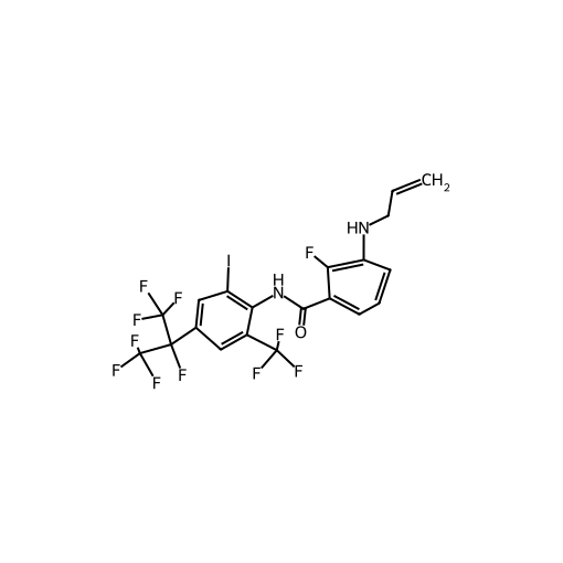 C=CCNc1cccc(C(=O)Nc2c(I)cc(C(F)(C(F)(F)F)C(F)(F)F)cc2C(F)(F)F)c1F